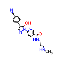 CNCCCNC(=O)c1ccc(-n2ncc(-c3ccc(C#N)cc3)c2O)nc1